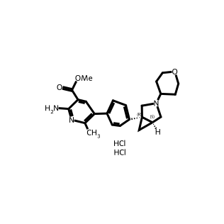 COC(=O)c1cc(-c2ccc([C@@]34C[C@@H]3CN(C3CCOCC3)C4)cc2)c(C)nc1N.Cl.Cl